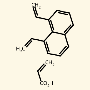 C=CC(=O)O.C=Cc1cccc2cccc(C=C)c12